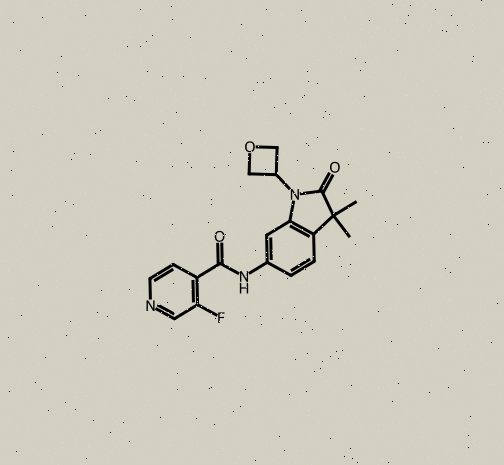 CC1(C)C(=O)N(C2COC2)c2cc(NC(=O)c3ccncc3F)ccc21